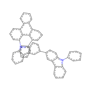 c1ccc(-c2cccc3c4ccccc4c4cccc(-n5c6ccccc6c6cc(-c7ccc8c(c7)c7ccccc7n8-c7ccccc7)ccc65)c4c23)cc1